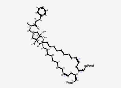 CCCCC/C=C\C/C=C\CCCCCCCCC1(CCCCCCCC/C=C\C/C=C\CCCCC)O[C@H]2C[C@H](CN(C)C(=O)OCc3ccccc3)C[C@H]2O1